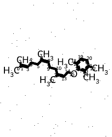 CC(C)=CCCC(C)=CCCC(C)=CCOc1c(C)ccc(C)c1C